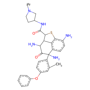 Cc1cc(Oc2ccccc2)ccc1C1(N)C(=O)C(N)C2c3c1ccc(N)c3SC2C(=O)NC1CCN(C(C)C)C1